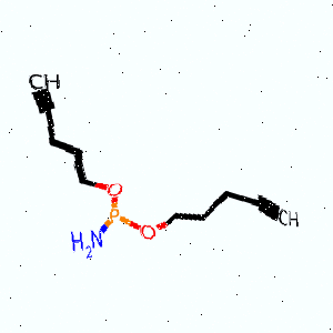 C#CCCCOP(N)OCCCC#C